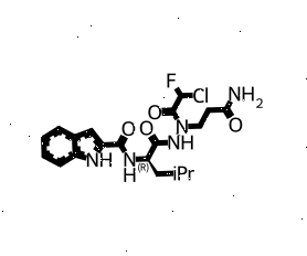 CC(C)C[C@@H](NC(=O)c1cc2ccccc2[nH]1)C(=O)NN(CCC(N)=O)C(=O)C(F)Cl